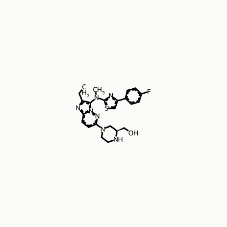 CCc1nc2ccc(N3CCN[C@H](CO)C3)nn2c1N(C)c1nc(-c2ccc(F)cc2)cs1